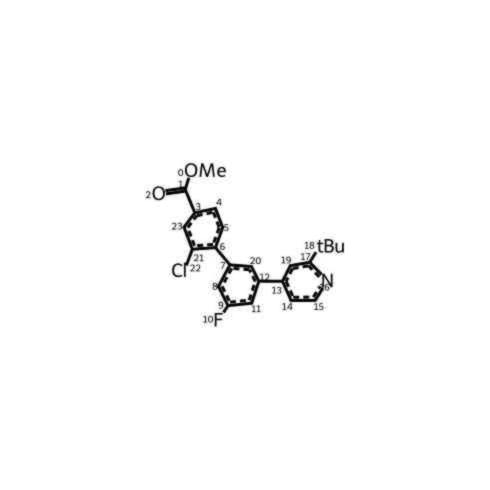 COC(=O)c1ccc(-c2cc(F)cc(-c3ccnc(C(C)(C)C)c3)c2)c(Cl)c1